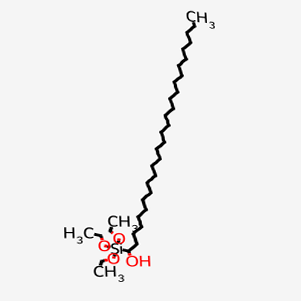 CCCCCCCCCCCCCCCCCCCCCCCCCCCCC(O)[Si](OCC)(OCC)OCC